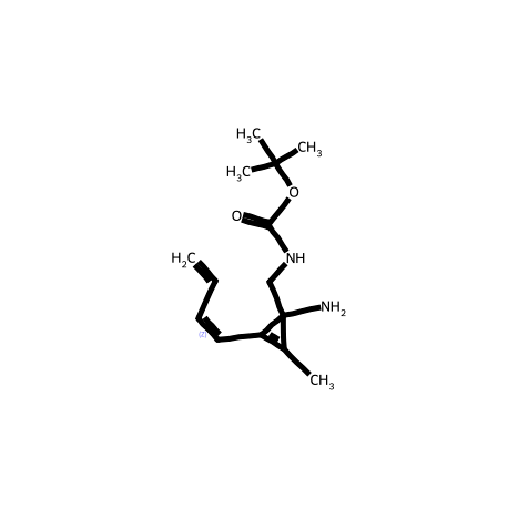 C=C/C=C\C1=C(C)C1(N)CNC(=O)OC(C)(C)C